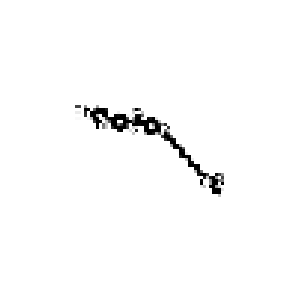 C=CC(=O)OCCCCCCCCCCOc1ccc(C(=O)Oc2ccc(-c3ccc(CC)cn3)cc2)cc1